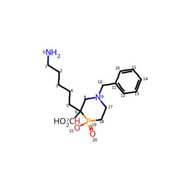 NCCCCCC1(C(=O)O)CN(Cc2ccccc2)CCP1(=O)O